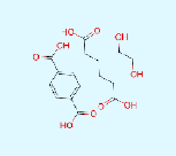 O=C(O)CCCCC(=O)O.O=C(O)c1ccc(C(=O)O)cc1.OCCO